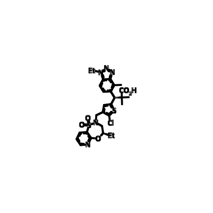 CC[C@@H]1CN(Cc2cc([C@@H](c3ccc4c(nnn4CC)c3C)C(C)(C)C(=O)O)sc2Cl)S(=O)(=O)c2cccnc2O1